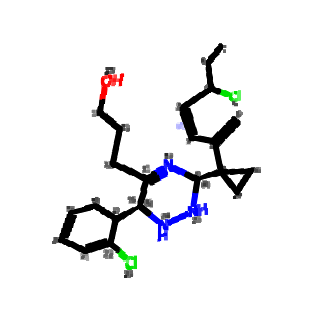 C=C(/C=C\C(Cl)CC)C1([C@@H]2N=C(CCCO)[C@H](C3CC=CC=C3Cl)NN2)CC1